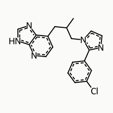 CC(Cc1ccnc2[nH]cnc12)Cn1ccnc1-c1cccc(Cl)c1